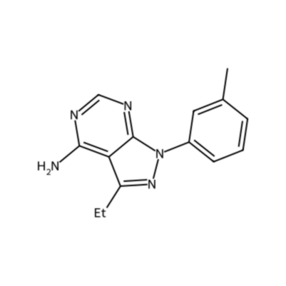 CCc1nn(-c2cccc(C)c2)c2ncnc(N)c12